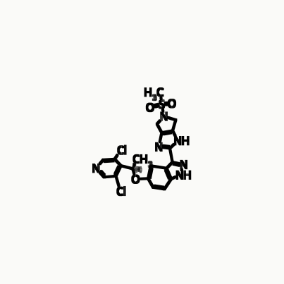 C[C@@H](Oc1ccc2[nH]nc(-c3nc4c([nH]3)CN(S(C)(=O)=O)C4)c2c1)c1c(Cl)cncc1Cl